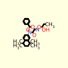 CCC(O)ON=CC(=O)N(OC(=O)c1ccccc1)c1ccc2c(c1)C(C)(C)CCC2(C)C